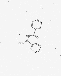 O=[C]N(NC(=O)c1ccccc1)c1ccccc1